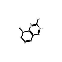 Cc1ncc2c(n1)N(C)CC=C2